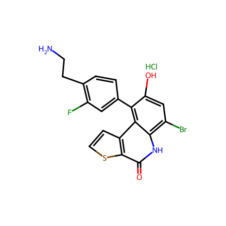 Cl.NCCc1ccc(-c2c(O)cc(Br)c3[nH]c(=O)c4sccc4c23)cc1F